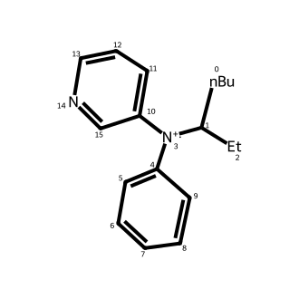 CCCCC(CC)[N+](c1ccccc1)c1cccnc1